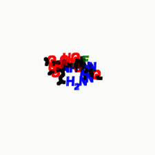 CCOC(=O)C(CCC(C)C)NP(=O)(OCC(=O)OC(C)C)OC[C@H]1O[C@@H](n2cnc3c(OCC)nc(N)nc32)[C@@](C)(F)C1O